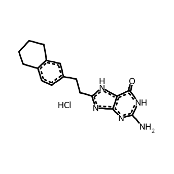 Cl.Nc1nc2nc(CCc3ccc4c(c3)CCCC4)[nH]c2c(=O)[nH]1